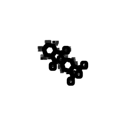 O=C1OC(=O)C2CCCCC12.O=C1OC(=O)C2CCCCC12